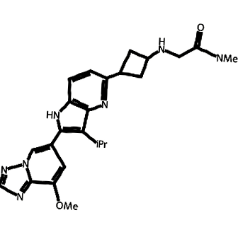 CNC(=O)CNC1CC(c2ccc3[nH]c(-c4cc(OC)c5ncnn5c4)c(C(C)C)c3n2)C1